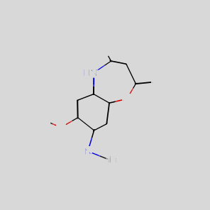 CCOC1CC2NC(C)CC(C)OC2CC1NC(C)C